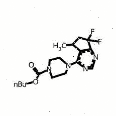 CCCCOC(=O)N1CCN(c2ncnc3c2C(C)CC3(F)F)CC1